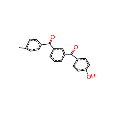 Cc1ccc(C(=O)c2cccc(C(=O)c3ccc(O)cc3)c2)cc1